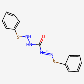 O=C(/N=N/Sc1ccccc1)NNSc1ccccc1